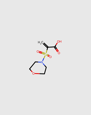 C=C(C(=O)O)S(=O)(=O)N1CCOCC1